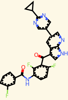 O=C(Nc1ccc(F)c(C(=O)c2c[nH]c3ncc(-c4cnc(C5CC5)nc4)cc23)c1F)c1cccc(F)c1